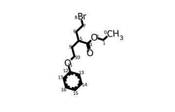 CCOC(=O)C(CCBr)CCOc1ccccc1